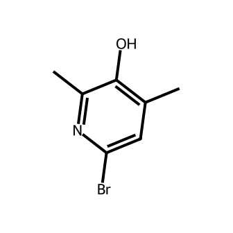 Cc1cc(Br)nc(C)c1O